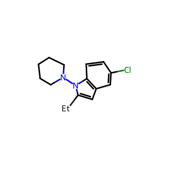 CCc1cc2cc(Cl)ccc2n1N1CCCCC1